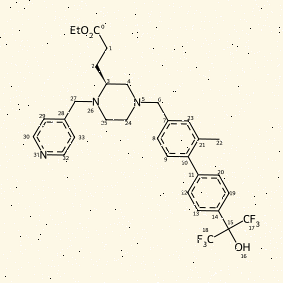 CCOC(=O)CC[C@H]1CN(Cc2ccc(-c3ccc(C(O)(C(F)(F)F)C(F)(F)F)cc3)c(C)c2)CCN1Cc1ccncc1